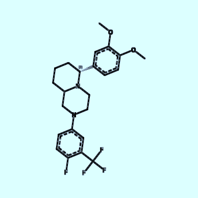 COc1ccc([C@H]2CCCC3CN(c4ccc(F)c(C(F)(F)F)c4)CCN32)cc1OC